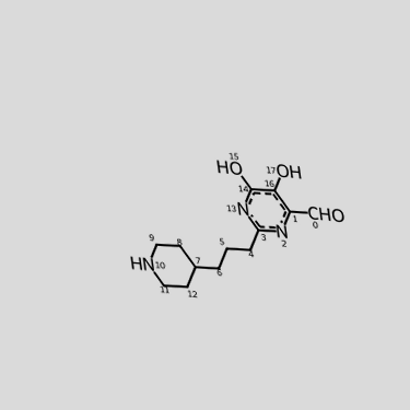 O=Cc1nc(CCCC2CCNCC2)nc(O)c1O